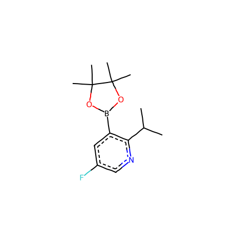 CC(C)c1ncc(F)cc1B1OC(C)(C)C(C)(C)O1